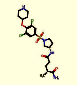 C[C@@H](C[CH]C(=O)N[C@H]1CCN(S(=O)(=O)c2cc(Cl)c(OC3CCNCC3)c(Cl)c2)C1)C(N)=O